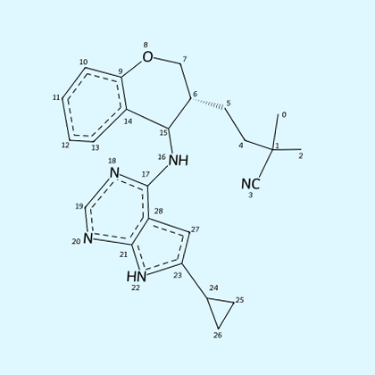 CC(C)(C#N)CC[C@H]1COc2ccccc2C1Nc1ncnc2[nH]c(C3CC3)cc12